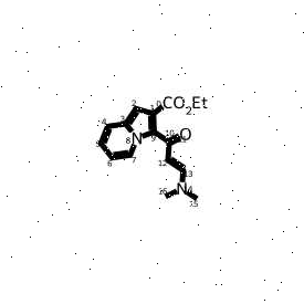 CCOC(=O)c1cc2ccccn2c1C(=O)C=CN(C)C